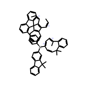 C/C=C\C1=C(/C=C\C)C2(C3=C1C=CC#CC3)c1ccccc1-c1cccc(-c3ccc(N(/C4=C/C=C(\C)c5ccccc5C(C)(C)C=C4)c4ccc5c(c4)C(C)(C)c4ccccc4-5)cc3)c12